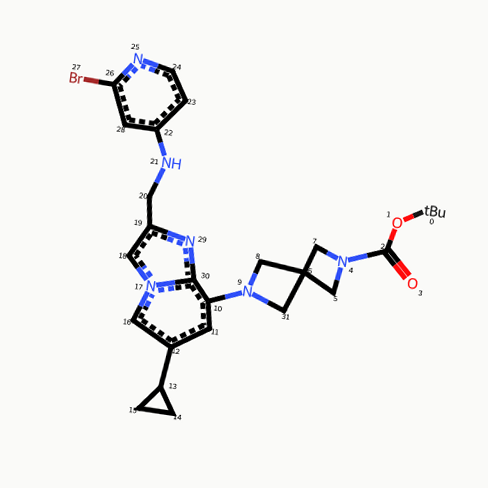 CC(C)(C)OC(=O)N1CC2(C1)CN(c1cc(C3CC3)cn3cc(CNc4ccnc(Br)c4)nc13)C2